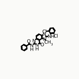 Cn1c(Nc2c(Cl)cccc2Cl)nc2ccc3nc(NC(=O)c4ccccc4)[nH]c(=O)c3c21